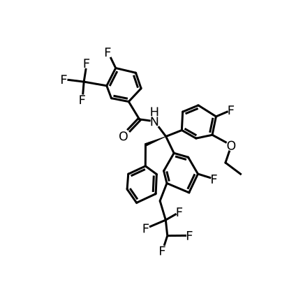 CCOc1cc([C@@](Cc2ccccc2)(NC(=O)c2ccc(F)c(C(F)(F)F)c2)c2cc(F)cc(CC(F)(F)C(F)F)c2)ccc1F